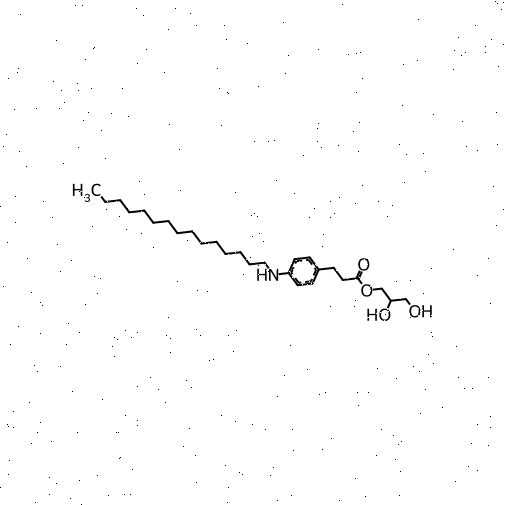 CCCCCCCCCCCCCCCNc1ccc(CCC(=O)OCC(O)CO)cc1